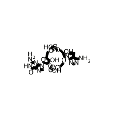 Nc1nc2c(ncn2C2OC3COP(=O)(O)OC[C@H](O)C(n4ccc5c(N)ncnc54)OCCOP(=O)(O)OC2C3O)c(=O)[nH]1